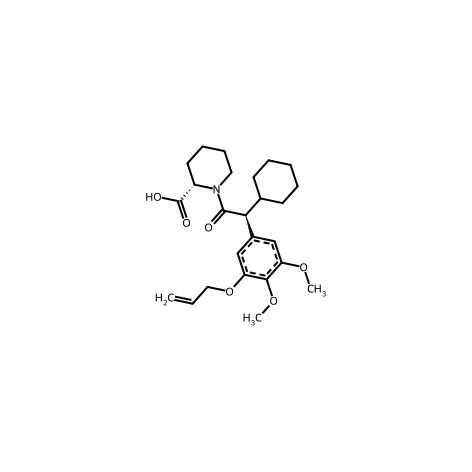 C=CCOc1cc([C@@H](C(=O)N2CCCC[C@H]2C(=O)O)C2CCCCC2)cc(OC)c1OC